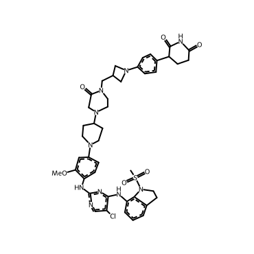 COc1cc(N2CCC(N3CCN(CC4CN(c5ccc(C6CCC(=O)NC6=O)cc5)C4)C(=O)C3)CC2)ccc1Nc1ncc(Cl)c(Nc2cccc3c2N(S(C)(=O)=O)CC3)n1